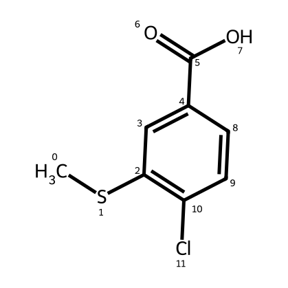 CSc1cc(C(=O)O)ccc1Cl